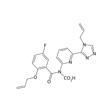 C=CCOc1ccc(F)cc1C(=O)N(C(=O)O)c1cccc(-c2nncn2CC=C)n1